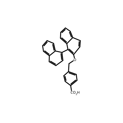 O=C(O)c1ccc(COc2ccc3ccccc3c2-c2cccc3ccccc23)cc1